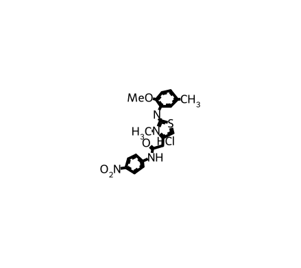 COc1ccc(C)cc1N=c1scc(CC(=O)Nc2ccc([N+](=O)[O-])cc2)n1C.Cl